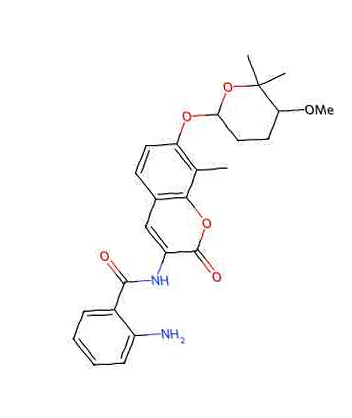 COC1CCC(Oc2ccc3cc(NC(=O)c4ccccc4N)c(=O)oc3c2C)OC1(C)C